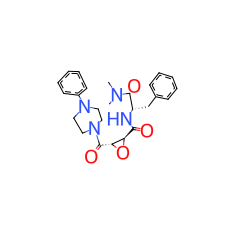 CN(C)C(=O)[C@H](Cc1ccccc1)NC(=O)[C@H]1O[C@@H]1C(=O)N1CCN(c2ccccc2)CC1